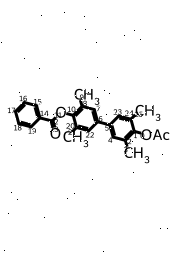 CC(=O)Oc1c(C)cc(-c2cc(C)c(OC(=O)c3ccccc3)c(C)c2)cc1C